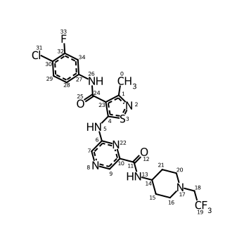 Cc1nsc(Nc2cncc(C(=O)NC3CCN(CC(F)(F)F)CC3)n2)c1C(=O)Nc1ccc(Cl)c(F)c1